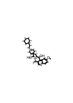 COc1ccc2ncc(CF)c(C(O)CCC3(C(=O)O)CCN(CCC4CCCCC4)CC3)c2c1